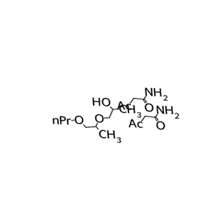 CC(=O)CC(N)=O.CC(=O)CC(N)=O.CCCOCC(C)OCC(C)O